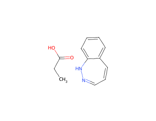 C1=Cc2ccccc2NN=C1.CCC(=O)O